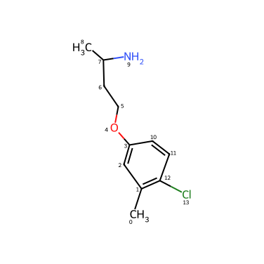 Cc1cc(OCCC(C)N)ccc1Cl